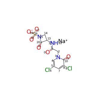 O=C(Cn1cc(Cl)cc(Cl)c1=O)NC1CN(S(=O)(=O)[O-])C1=O.[Na+]